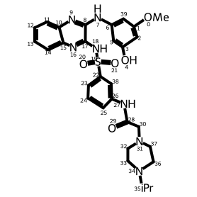 COc1cc(O)cc(Nc2nc3ccccc3nc2NS(=O)(=O)c2cccc(NC(=O)CN3CCN(C(C)C)CC3)c2)c1